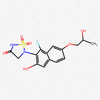 CC(O)COc1ccc2cc(O)c(N3CC(=O)NS3(=O)=O)c(F)c2c1